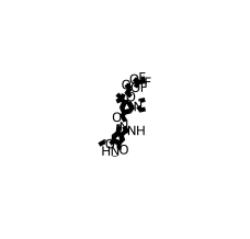 CCOc1cc2c(cc1C(=O)NC)C(=N)N(CC(=O)c1cc(N(CC)CC)c(OCC(=O)OC(=O)C(F)(F)F)c(C(C)(C)C)c1)C2